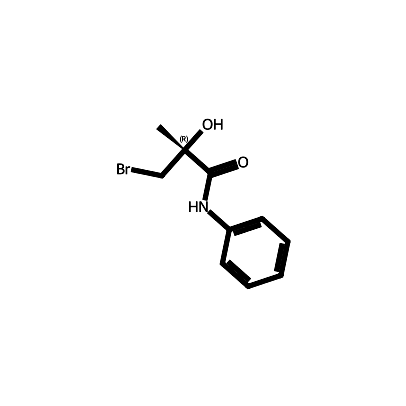 C[C@](O)(CBr)C(=O)Nc1ccccc1